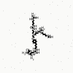 N=CNCCCCSN(NCCCN(CCCNC(=O)NCCCCNC(=N)N)CCOc1ccc(CCCCNC(=N)NC(=O)c2nc(Cl)c(N)nc2N)cc1)C(N)=O